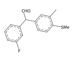 CSc1ccc(C(C=O)c2cccc(F)c2)cc1C